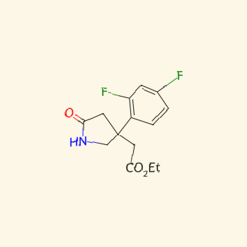 CCOC(=O)CC1(c2ccc(F)cc2F)CNC(=O)C1